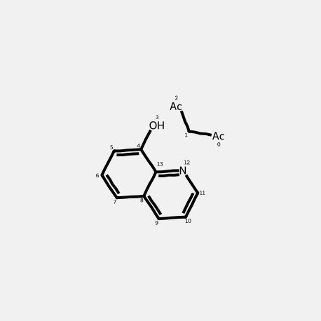 CC(=O)CC(C)=O.Oc1cccc2cccnc12